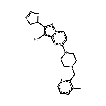 Cc1cccnc1CN1CCN(c2ccn3nc(C4CN=CO4)c(C#N)c3n2)CC1